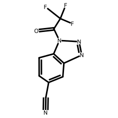 N#Cc1ccc2c(c1)nnn2C(=O)C(F)(F)F